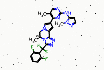 Cc1cnc(Nc2ccnn2C)nc1-c1cc2n(c1)C[C@H](C)n1c-2nnc1C(F)(F)c1c(F)cccc1F